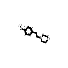 COc1ccc(CCN2CCOCC2)cc1